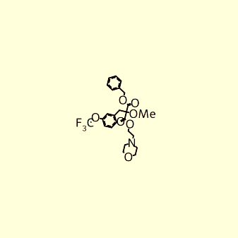 COC(Cc1cccc(OC(F)(F)F)c1)(C(=O)OCCN1CCOCC1)C(=O)OCc1ccccc1